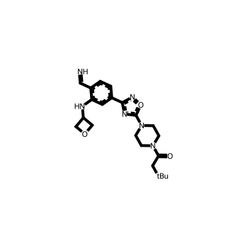 CC(C)(C)CC(=O)N1CCN(c2nc(-c3ccc(C=N)c(NC4COC4)c3)no2)CC1